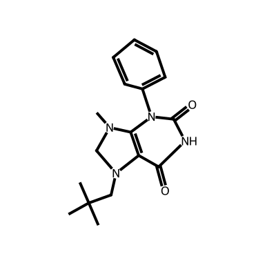 CN1CN(CC(C)(C)C)c2c1n(-c1ccccc1)c(=O)[nH]c2=O